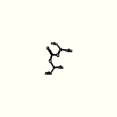 CCCCN(CCCC)OC(=O)ON(CCCC)CCCC